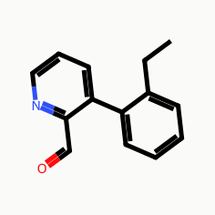 CCc1ccccc1-c1cccnc1C=O